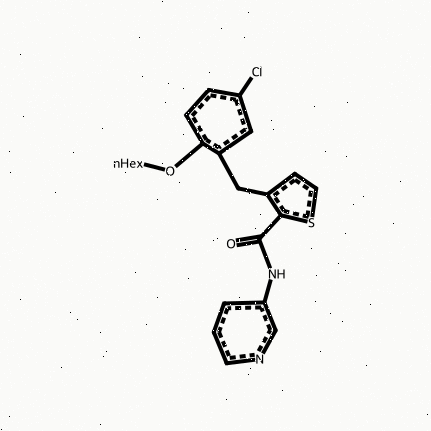 CCCCCCOc1ccc(Cl)cc1Cc1ccsc1C(=O)Nc1cccnc1